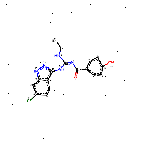 CC(C)CN/C(=N/C(=O)c1ccc(O)cc1)Nc1n[nH]c2cc(Cl)ccc12